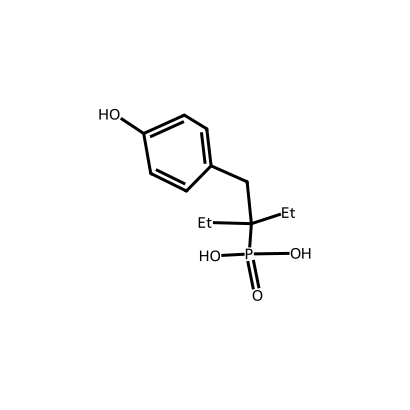 CCC(CC)(Cc1ccc(O)cc1)P(=O)(O)O